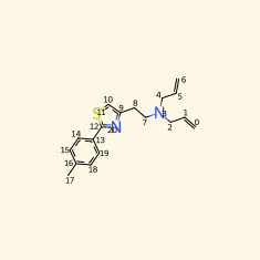 C=CCN(CC=C)CCc1csc(-c2ccc(C)cc2)n1